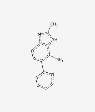 Cc1nc2ccc(-c3ccccn3)c(N)c2[nH]1